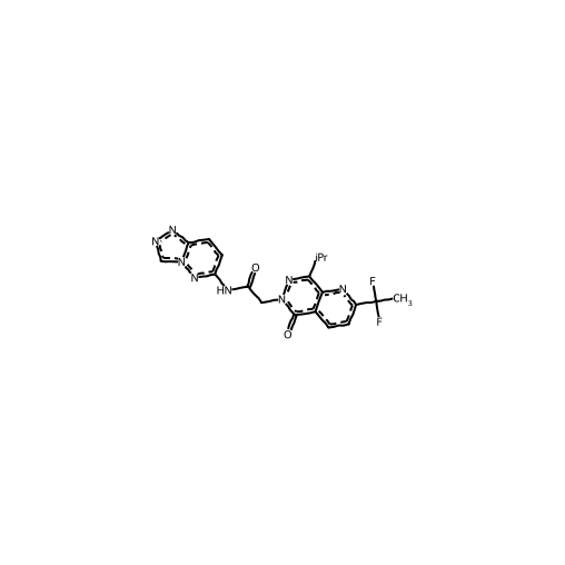 CC(C)c1nn(CC(=O)Nc2ccc3nncn3n2)c(=O)c2ccc(C(C)(F)F)nc12